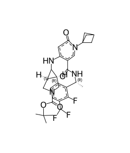 C[C@@H](NC(=O)c1cn(C23CC(C2)C3)c(=O)cc1NC1[C@H]2CN(C(=O)OC(C)(C)C)C[C@@H]12)c1cccc(C(F)F)c1F